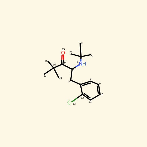 CC(C)(C)NC(Cc1ccccc1Cl)C(=O)C(C)(C)C